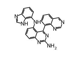 Nc1nc(-c2cccc3cncnc23)c2c(Nc3cccc4nc[nH]c34)cccc2n1